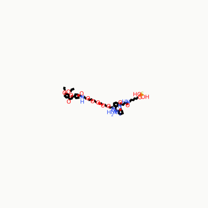 C=CCOc1ccc2c(=O)cc(-c3ccc(C(=O)NCCOCCOCCOCCOCCOCCN(N)/C4=C(\N)c5ccccc5CN(C(=O)CCC(=O)NCCCCCCOP(O)(O)=S)c5ccccc54)cc3)oc2c1OCC=C